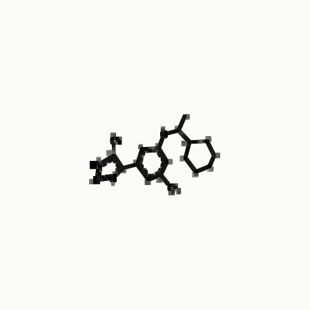 CC(Oc1cc(-c2nn[nH]c2C#N)cc(C(F)(F)F)c1)C1CCCCC1